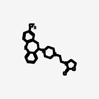 O=C1OCCN1CCN1CCN(C2Cc3cc(C(F)(F)F)ccc3Sc3ccccc32)CC1